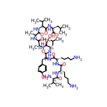 CC(C)C[C@H](NC(=O)[C@@H](NC(=O)[C@H](C)NC(=O)[C@H](C)NC(=O)[C@H](CC(C)C)NC(=O)[C@H](Cc1ccc(O)cc1)NC(=O)[C@H](CCCCN)NC(=O)[C@H](CCCCN)NC(=O)[C@@H](N)C(C)C)C(C)C)C(=O)O